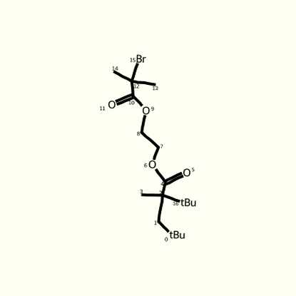 CC(C)(C)CC(C)(C(=O)OCCOC(=O)C(C)(C)Br)C(C)(C)C